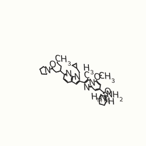 CCCC(CC(=O)N1CCCC1)c1ccc2cc(-c3nc4cc(C(=O)N5[C@H]6CC[C@@H]5[C@H](N)C6)cc(OC)n4c3C)n(CC3CC3)c2n1